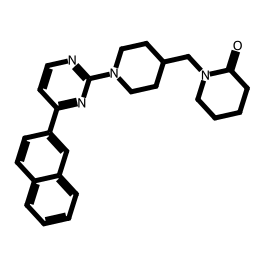 O=C1CCCCN1CC1CCN(c2nccc(-c3ccc4ccccc4c3)n2)CC1